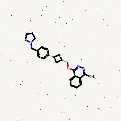 Cc1nnc(OC[C@H]2C[C@@H](c3ccc(CN4CCCC4)cc3)C2)c2ccccc12